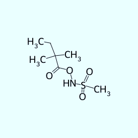 CCC(C)(C)C(=O)ONS(C)(=O)=O